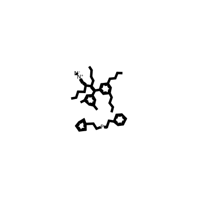 CCCCC(=C=[N+]=[N-])C(CCCC)=C(c1cc(C)cc(C)c1)c1cc(CCCC)cc(CCCC)c1.c1ccc(C[CH2][Pd][CH2]Cc2ccccc2)cc1